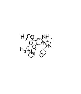 COC(=O)c1cc(N)c(-n2ccnc2C2CCOCC2)cc1OC[C@@H]1CCCN1C